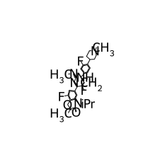 C=C(F)/C(=N\C(=N/C)Nc1ccc(C2CCN(C)CC2)c(F)c1)c1cc(F)c2c(c1)N(C(C)C)C(=O)C(C)O2